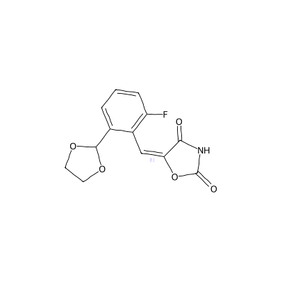 O=C1NC(=O)/C(=C\c2c(F)cccc2C2OCCO2)O1